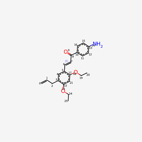 C=CCc1cc(/C=C/C(=O)c2ccc(N)cc2)c(OCC)cc1OCC